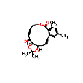 Cc1cc(C)c2c(c1)/C=C/C[C@@H]1OC(C)(C)O[C@@H]1C(=O)/C=C\CCOC2=O